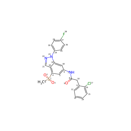 CS(=O)(=O)c1cc(NC(=O)Cc2ccccc2Cl)cc2c1cnn2-c1ccc(F)cc1